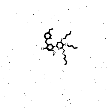 CCCCOC[C@H]1S[C@@H](c2cc(Cc3ccc(CC)cc3)c(Cl)cc2OC)C[C@@H](OCCCC)[C@@H]1OCCCC